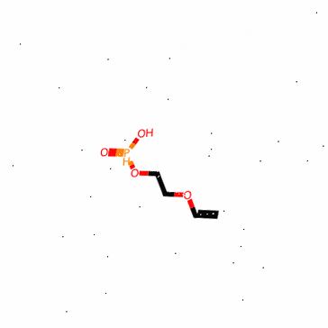 C=COCCO[PH](=O)O